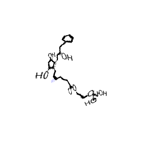 O=C(CCC/C=C\C[C@@H]1[C@@H](CC[C@@H](O)CCc2ccccc2)[C@H](O)C[C@@H]1O)OCCCON(O)O